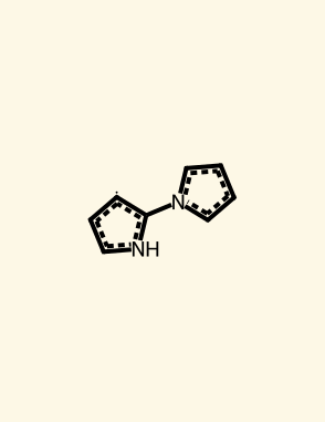 [c]1cc[nH]c1-n1cccc1